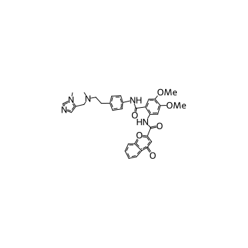 COc1cc(NC(=O)c2cc(=O)c3ccccc3o2)c(C(=O)Nc2ccc(CCN(C)Cc3cncn3C)cc2)cc1OC